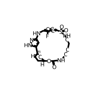 O=C1NCCCCCNS(=O)(=O)c2ccc(c(F)c2)Nc2cc([nH]n2)[C@@H]2CC[C@@H](C2)O1